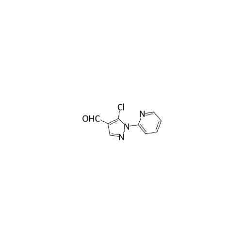 O=Cc1cnn(-c2ccccn2)c1Cl